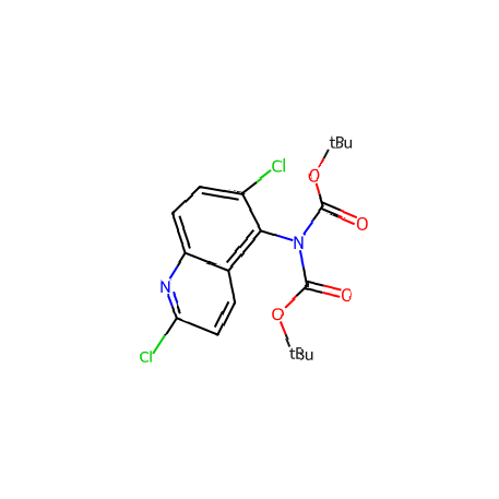 CC(C)(C)OC(=O)N(C(=O)OC(C)(C)C)c1c(Cl)ccc2nc(Cl)ccc12